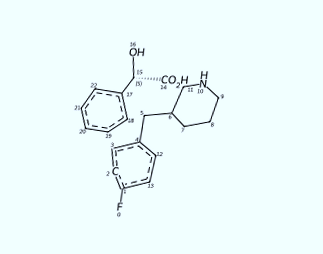 Fc1ccc(CC2CCCNC2)cc1.O=C(O)[C@@H](O)c1ccccc1